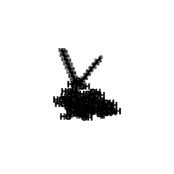 CCCCCCCCCCCCC/C=C/[C@@H](O)[C@H](CO[C@@H]1OC(CO)[C@@H](O[C@@H]2OC(CO)[C@H](O)[C@H](O[C@@H]3OC(CO)[C@@H](O[C@@H]4OC(CO)[C@H](O)[C@H](O[C@@H]5OC(CO)[C@@H](O[C@@H]6OC(CO)[C@H](O)[C@H](O[C@]7(C(=O)O)CC(O)[C@@H](NC(C)=O)C([C@H](O)[C@H](O)CO)O7)C6O)[C@H](O[C@H]6OC(C)[C@@H](O)C(O)[C@@H]6O)C5NC(C)=O)C4O)[C@H](O[C@H]4OC(C)[C@@H](O)C(O)[C@@H]4O)C3NC(C)=O)C2O)[C@H](O)C1O)NC(=O)CCCCCCCCCCCCCCC